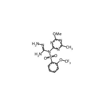 COc1nc(C)nc(N(C(N)=NN)S(=O)(=O)c2ccccc2OC(F)(F)F)n1